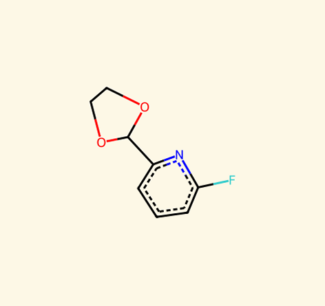 Fc1cccc(C2OCCO2)n1